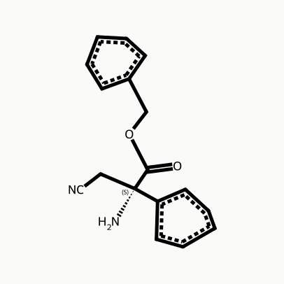 N#CC[C@@](N)(C(=O)OCc1ccccc1)c1ccccc1